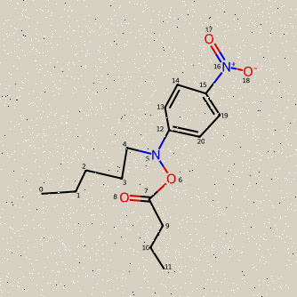 CCCCCN(OC(=O)CCC)c1ccc([N+](=O)[O-])cc1